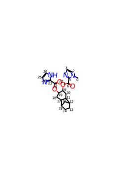 Cn1ccnc1C(=O)OC1CC2C3CCC(C3)C2CC1OC(=O)c1ncc[nH]1